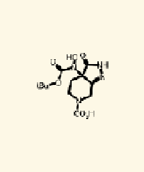 CC(C)(C)OC(=O)N(O)C12CCN(C(=O)O)CC1=NNC2=O